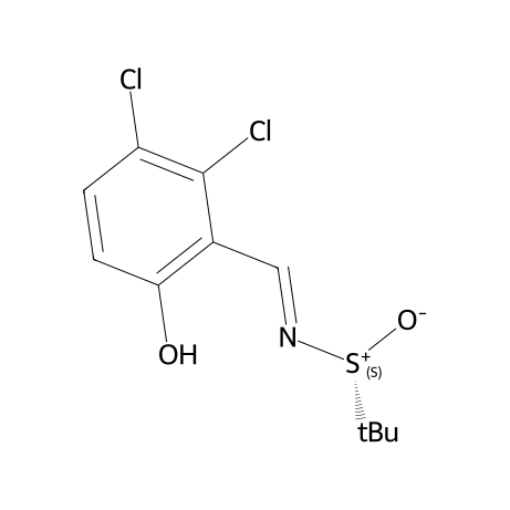 CC(C)(C)[S@@+]([O-])N=Cc1c(O)ccc(Cl)c1Cl